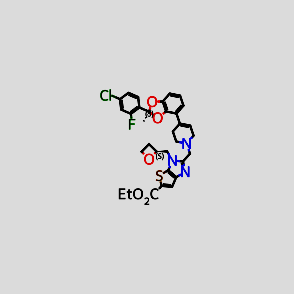 CCOC(=O)c1cc2nc(CN3CC=C(c4cccc5c4O[C@@](C)(c4ccc(Cl)cc4F)O5)CC3)n(C[C@@H]3CCO3)c2s1